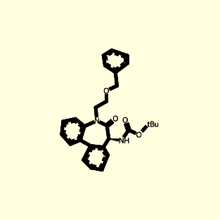 CC(C)(C)OC(=O)N[C@@H]1C(=O)N(CCOCc2ccccc2)c2ccccc2-c2ccccc21